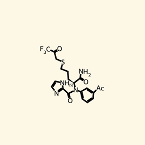 CC(=O)c1cccc(N(C(=O)c2ncc[nH]2)[C@@H](CCCSCC(=O)C(F)(F)F)C(N)=O)c1